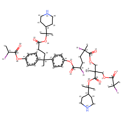 CCC(COC(=O)C(C)(C)I)(COC(=O)C(C)(I)CCC(I)C(=O)Oc1ccc(C(C)(CCC(=O)OC(C)(C)C2CCNCC2)c2ccc(OC(=O)C(C)I)cc2)cc1)C(=O)OC(C)(C)C1CCNCC1